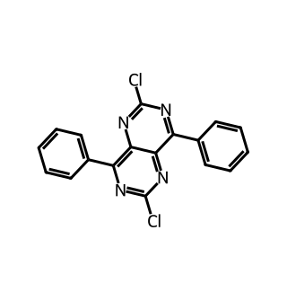 Clc1nc(-c2ccccc2)c2nc(Cl)nc(-c3ccccc3)c2n1